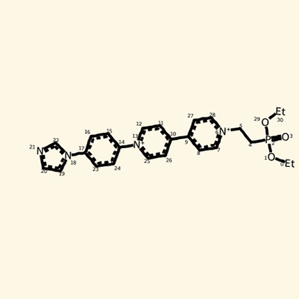 CCOP(=O)(CC[n+]1ccc(-c2cc[n+](-c3ccc(-n4ccnc4)cc3)cc2)cc1)OCC